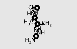 CCc1cc(-c2ccc(NS(=O)(=O)c3ccccc3Cl)cc2C)cc2cnc(N[C@H]3CC[C@H](N)CC3)nc12